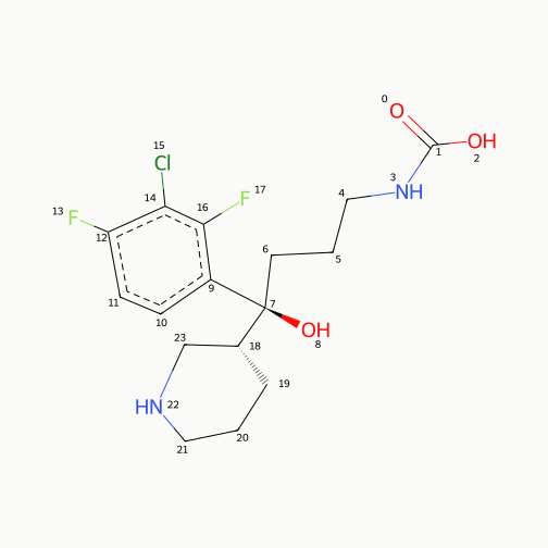 O=C(O)NCCC[C@@](O)(c1ccc(F)c(Cl)c1F)[C@@H]1CCCNC1